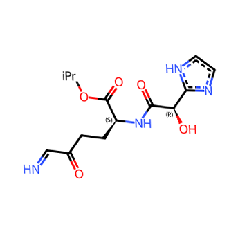 CC(C)OC(=O)[C@H](CCC(=O)C=N)NC(=O)[C@H](O)c1ncc[nH]1